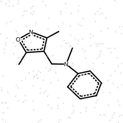 Cc1noc(C)c1CN(C)c1ccccc1